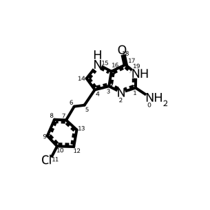 Nc1nc2c(CCc3ccc(Cl)cc3)c[nH]c2c(=O)[nH]1